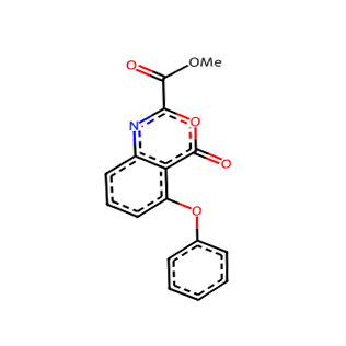 COC(=O)c1nc2cccc(Oc3ccccc3)c2c(=O)o1